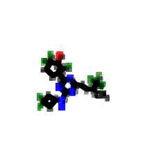 C[C@@H](CCc1nc(NC2CC(F)(F)C2)nc(C2=C(F)C(=O)C(F)(F)CC2)n1)C(F)(F)F